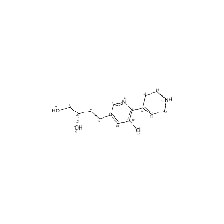 OC[C@@H](O)CCc1cnc(C2=CCNCC2)c(Cl)c1